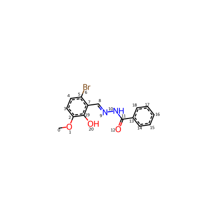 COc1ccc(Br)c(/C=N/NC(=O)c2ccccc2)c1O